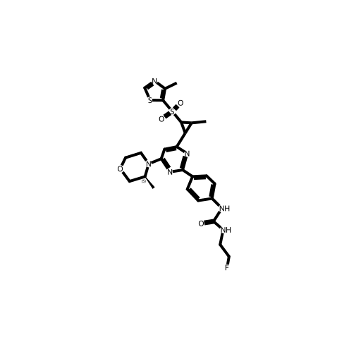 Cc1ncsc1S(=O)(=O)C1C(C)C1c1cc(N2CCOC[C@@H]2C)nc(-c2ccc(NC(=O)NCCF)cc2)n1